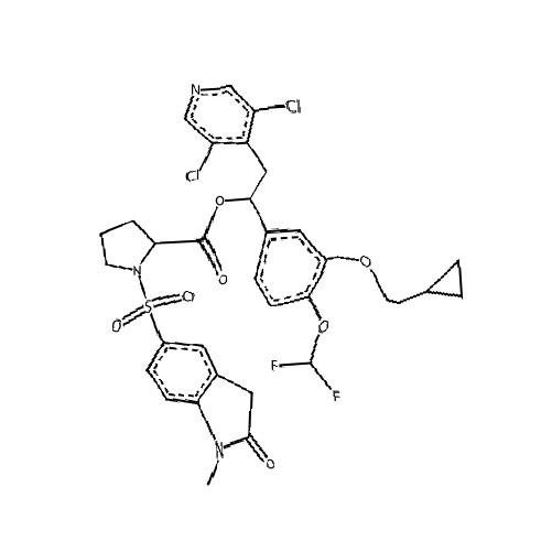 CN1C(=O)Cc2cc(S(=O)(=O)N3CCCC3C(=O)OC(Cc3c(Cl)cncc3Cl)c3ccc(OC(F)F)c(OCC4CC4)c3)ccc21